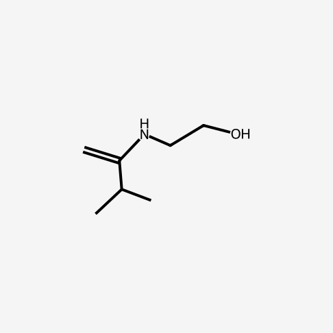 C=C(NCCO)C(C)C